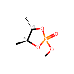 COP1(=O)O[C@@H](C)[C@H](C)O1